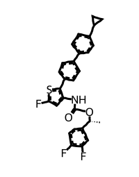 C[C@@H](OC(=O)Nc1cc(F)sc1-c1ccc(-c2ccc(C3CC3)cc2)cc1)c1ccc(F)c(F)c1